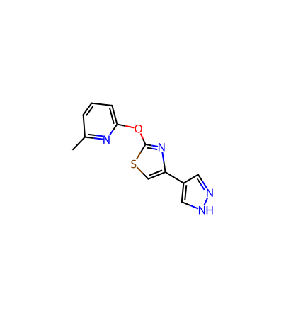 Cc1cccc(Oc2nc(-c3cn[nH]c3)cs2)n1